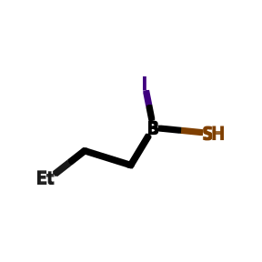 CCCCB(S)I